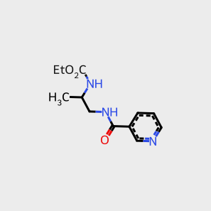 CCOC(=O)NC(C)CNC(=O)c1cccnc1